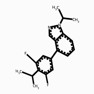 CC(C)c1c(F)cc(-c2cccc3c2cnn3C(C)C)cc1F